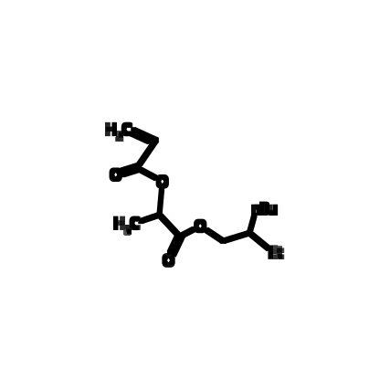 C=CC(=O)OC(C)C(=O)OCC(CC)CCCC